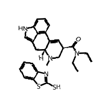 CCN(CC)C(=O)[C@@H]1C=C2c3cccc4[nH]cc(c34)C[C@H]2N(C)C1.Sc1nc2ccccc2s1